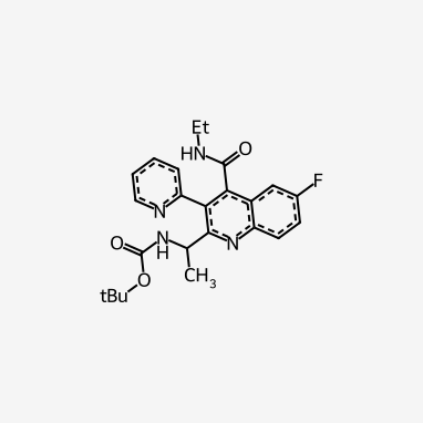 CCNC(=O)c1c(-c2ccccn2)c(C(C)NC(=O)OC(C)(C)C)nc2ccc(F)cc12